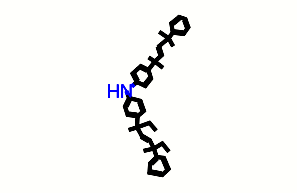 CCC(C)(/C=C/C(C)(CC)c1ccc(Nc2ccc(C(C)(C)/C=C/C(C)(C)c3ccccc3)cc2)cc1)c1ccccc1